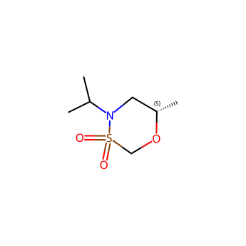 CC(C)N1C[C@H](C)OCS1(=O)=O